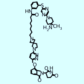 CC1(N)CCN(c2cnc(Sc3cccc(NC(=O)CCCCCCCN4CC5(CCN(c6ccc(COc7cccc8c7CN(C7CCC(=O)NC7=O)C8=O)nn6)C5)C4)c3)cn2)CC1